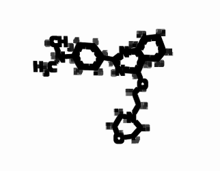 CN(C)c1ccc(-c2nc(OCCN3CCOCC3)c3ccccc3n2)cc1